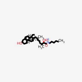 CCCCCCNC(=O)C(O)C(C)CCC[C@@H](C)[C@H]1CC[C@H]2[C@@H]3CC=C4C[C@@H](O)CC[C@]4(C)[C@H]3CC[C@]12C